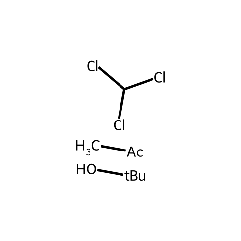 CC(C)(C)O.CC(C)=O.ClC(Cl)Cl